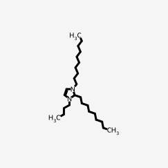 CCCCCCCCCCN1C=CN(CCCC)C1CCCCCCCCC